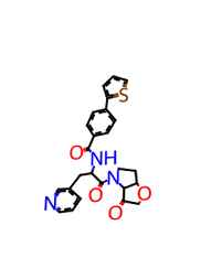 O=C(NC(Cc1cccnc1)C(=O)N1CCC2OCC(=O)C21)c1ccc(-c2cccs2)cc1